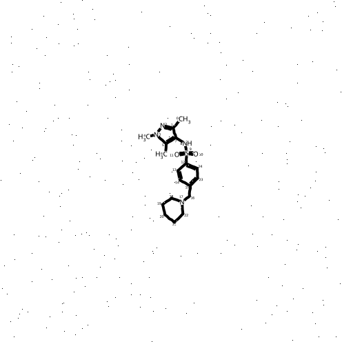 Cc1nn(C)c(C)c1NS(=O)(=O)c1ccc(CN2CCCCC2)cc1